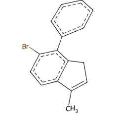 CC1=CCc2c1ccc(Br)c2-c1ccccc1